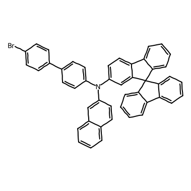 Brc1ccc(-c2ccc(N(c3ccc4c(c3)C3(c5ccccc5-c5ccccc53)c3ccccc3-4)c3ccc4ccccc4c3)cc2)cc1